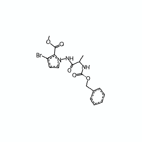 COC(=O)c1c(Br)ccn1NC(=O)C(C)NC(=O)OCc1ccccc1